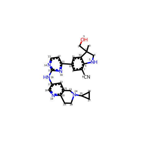 CC1(CO)CNc2c(C#N)cc(-c3ccnc(Nc4cnc5c(c4)CN(C4CC4)CC5)n3)cc21